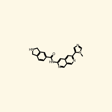 Cn1cncc1-c1cc2cc(NC(=O)c3ccc4c(c3)CNC4)ncc2cn1